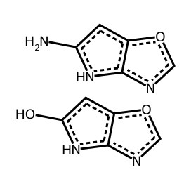 Nc1cc2ocnc2[nH]1.Oc1cc2ocnc2[nH]1